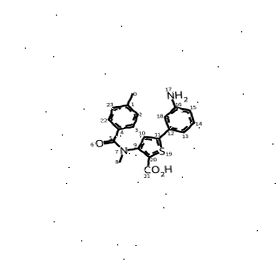 Cc1ccc(C(=O)N(C)c2cc(-c3cccc(N)c3)sc2C(=O)O)cc1